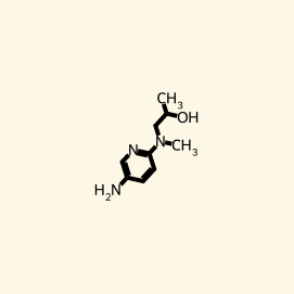 CC(O)CN(C)c1ccc(N)cn1